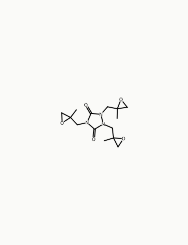 CC1(Cn2c(=O)n(CC3(C)CO3)n(CC3(C)CO3)c2=O)CO1